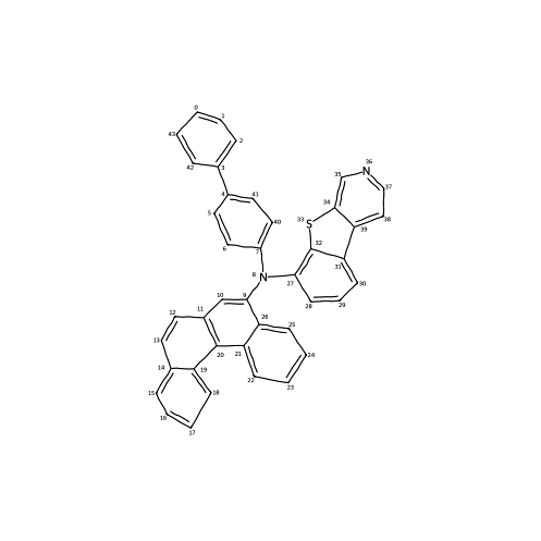 c1ccc(-c2ccc(N(c3cc4ccc5ccccc5c4c4ccccc34)c3cccc4c3sc3cnccc34)cc2)cc1